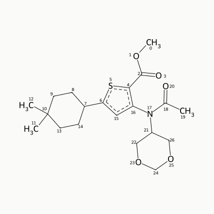 COC(=O)c1sc(C2CCC(C)(C)CC2)cc1N(C(C)=O)C1COCOC1